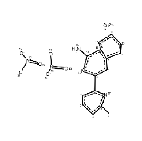 Cc1cccc(-c2cc3ccccc3c(N)n2)n1.O=[N+]([O-])[O-].O=[N+]([O-])[O-].[Cu+2]